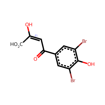 O=C(O)/C(O)=C\C(=O)c1cc(Br)c(O)c(Br)c1